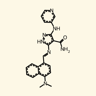 CN(C)c1ccc(C=Nc2[nH]nc(Nc3cccnc3)c2C(N)=O)c2ccccc12